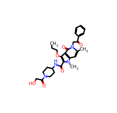 CCCOc1c(C(=O)NC2CCN(C(=O)CO)CC2)n(C)c2cc(C)n(CC(=O)c3ccccc3)c(=O)c12